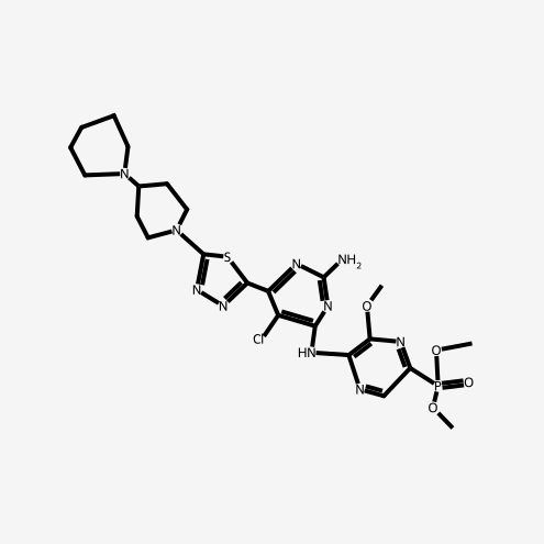 COc1nc(P(=O)(OC)OC)cnc1Nc1nc(N)nc(-c2nnc(N3CCC(N4CCCCC4)CC3)s2)c1Cl